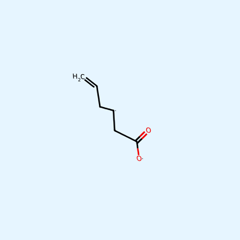 C=CC[CH]CC([O])=O